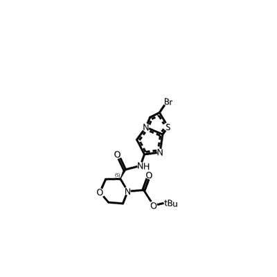 CC(C)(C)OC(=O)N1CCOC[C@H]1C(=O)Nc1cn2cc(Br)sc2n1